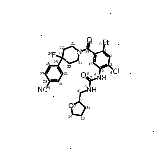 CCc1cc(Cl)c(NC(=O)NC[C@H]2CCCO2)cc1C(=O)N1CCC(F)(c2ccc(C#N)cc2)CC1